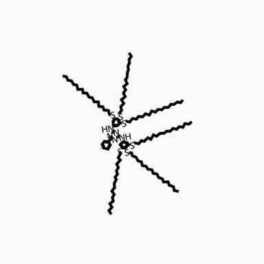 CCCCCCCCCCCCCCCCCCCSc1cc(Nc2nc(Nc3cc(SCCCCCCCCCCCCCCCCCCC)c(SCCCCCCCCCCCCCCCCCCC)c(SCCCCCCCCCCCCCCCCCCC)c3)nc(-c3cc[c]cc3)n2)cc(SCCCCCCCCCCCCCCCCCCC)c1SCCCCCCCCCCCCCCCCCCC